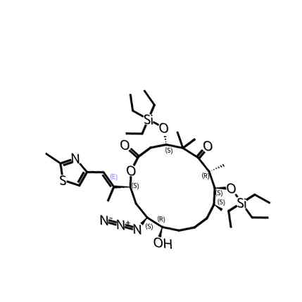 CC[Si](CC)(CC)O[C@H]1[C@@H](C)CCC[C@@H](O)[C@@H](N=[N+]=[N-])C[C@@H](/C(C)=C/c2csc(C)n2)OC(=O)C[C@H](O[Si](CC)(CC)CC)C(C)(C)C(=O)[C@@H]1C